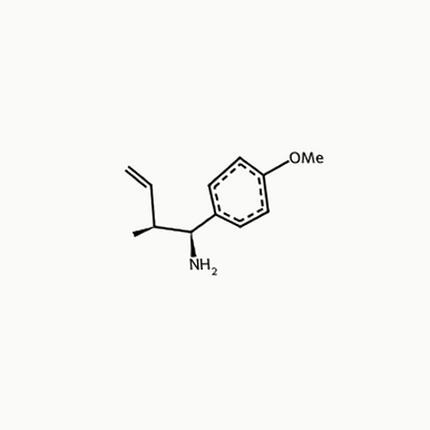 C=C[C@H](C)[C@H](N)c1ccc(OC)cc1